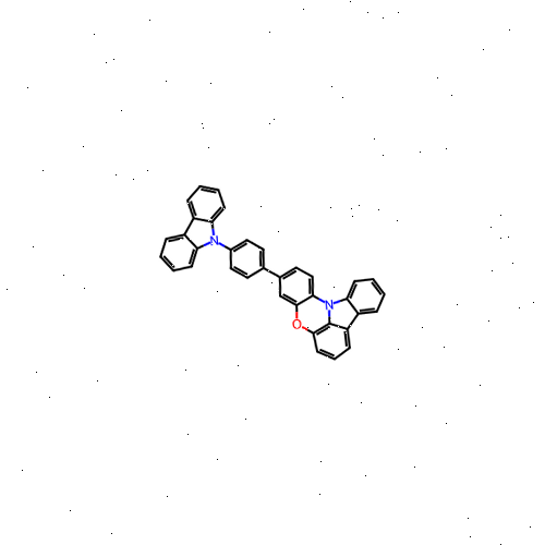 c1ccc2c(c1)c1ccccc1n2-c1ccc(-c2ccc3c(c2)Oc2cccc4c5ccccc5n-3c24)cc1